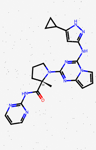 C[C@@]1(C(=O)Nc2ncccn2)CCCN1c1nc(Nc2cc(C3CC3)[nH]n2)n2cccc2n1